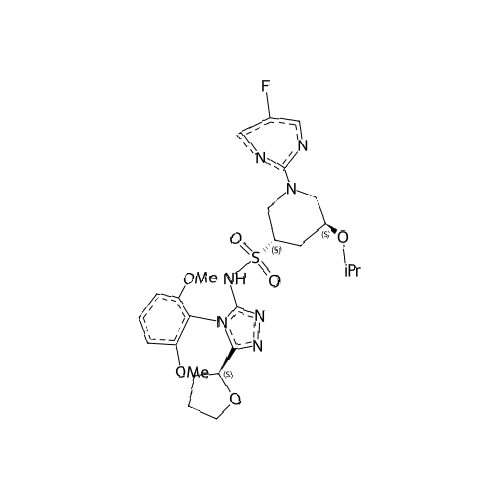 COc1cccc(OC)c1-n1c(NS(=O)(=O)[C@H]2C[C@H](OC(C)C)CN(c3ncc(F)cn3)C2)nnc1[C@@H]1CCCO1